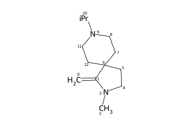 C=C1N(C)CCC12CCN(C(C)C)CC2